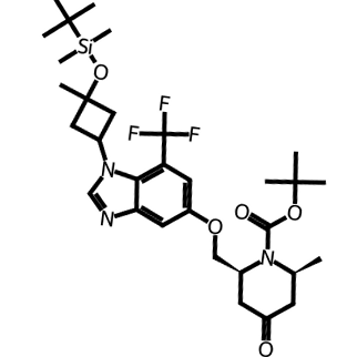 C[C@H]1CC(=O)C[C@@H](COc2cc(C(F)(F)F)c3c(c2)ncn3C2CC(C)(O[Si](C)(C)C(C)(C)C)C2)N1C(=O)OC(C)(C)C